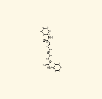 O=C(NC1CCCCC1)SCCSCCSC(=O)NC1CCCCC1